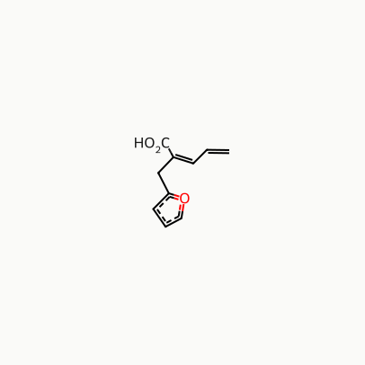 C=CC=C(Cc1ccco1)C(=O)O